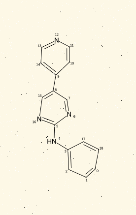 c1ccc(Nc2ncc(-c3ccncc3)cn2)cc1